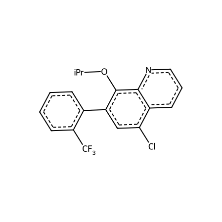 CC(C)Oc1c(-c2ccccc2C(F)(F)F)cc(Cl)c2cccnc12